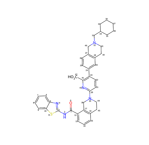 O=C(Nc1nc2ccccc2s1)c1cccc2c1CN(c1ccc(-c3ccc4c(c3)CCN(CC3CCCCC3)C4)c(C(=O)O)n1)CC2